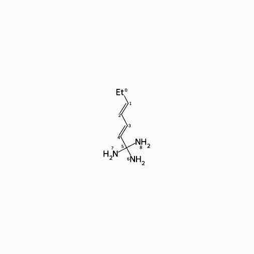 CCC=CC=CC(N)(N)N